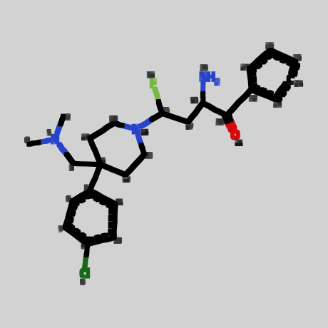 CN(C)CC1(c2ccc(Cl)cc2)CCN(C(F)CC(N)C(=O)c2ccccc2)CC1